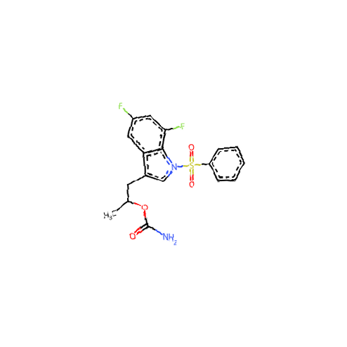 CC(Cc1cn(S(=O)(=O)c2ccccc2)c2c(F)cc(F)cc12)OC(N)=O